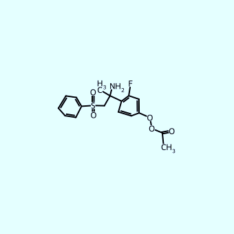 CC(=O)OOc1ccc(C(C)(N)CS(=O)(=O)c2ccccc2)c(F)c1